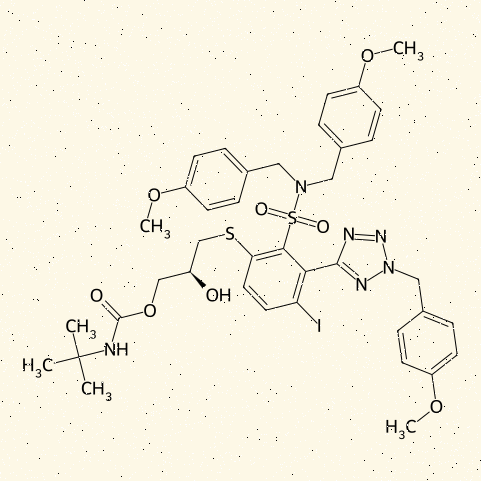 COc1ccc(CN(Cc2ccc(OC)cc2)S(=O)(=O)c2c(SC[C@@H](O)COC(=O)NC(C)(C)C)ccc(I)c2-c2nnn(Cc3ccc(OC)cc3)n2)cc1